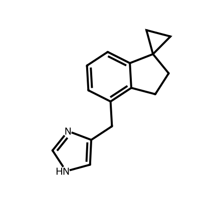 c1cc(Cc2c[nH]cn2)c2c(c1)C1(CC2)CC1